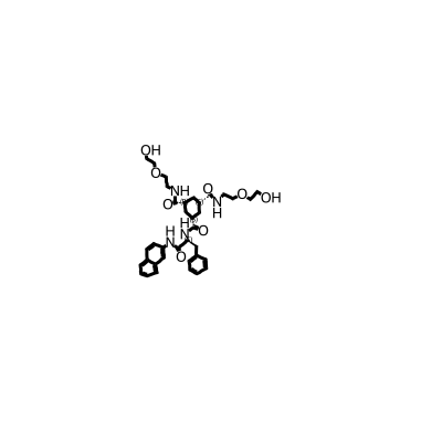 O=C(NCCOCCO)[C@@H]1C[C@H](C(=O)NCCOCCO)C[C@H](C(=O)N[C@@H](Cc2ccccc2)C(=O)Nc2ccc3ccccc3c2)C1